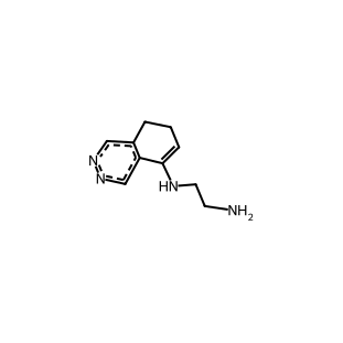 NCCNC1=CCCc2cnncc21